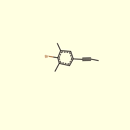 CC#Cc1cc(C)c(Br)c(C)c1